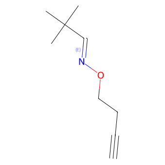 C#CCCO/N=[C]/C(C)(C)C